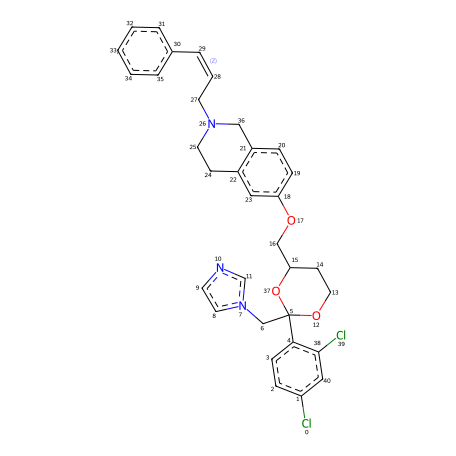 Clc1ccc(C2(Cn3ccnc3)OCCC(COc3ccc4c(c3)CCN(C/C=C\c3cc[c]cc3)C4)O2)c(Cl)c1